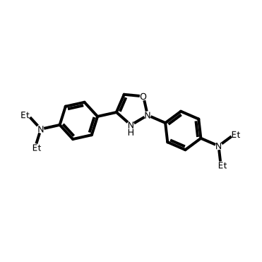 CCN(CC)c1ccc(C2=CON(c3ccc(N(CC)CC)cc3)N2)cc1